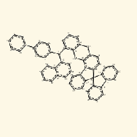 c1ccc(-c2ccc(N(c3cccc4c3Oc3c(ccc5c3-c3ccccc3C53c5ccccc5-c5ccccc53)O4)c3cccc4ccccc34)cc2)cc1